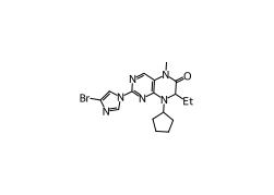 CCC1C(=O)N(C)c2cnc(-n3cnc(Br)c3)nc2N1C1CCCC1